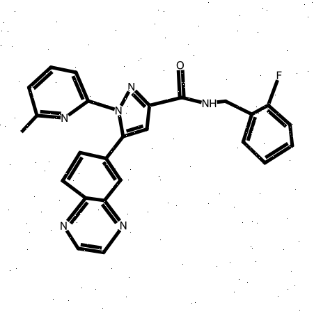 Cc1cccc(-n2nc(C(=O)NCc3ccccc3F)cc2-c2ccc3nccnc3c2)n1